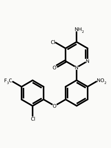 Nc1cnn(-c2cc(Oc3ccc(C(F)(F)F)cc3Cl)ccc2[N+](=O)[O-])c(=O)c1Cl